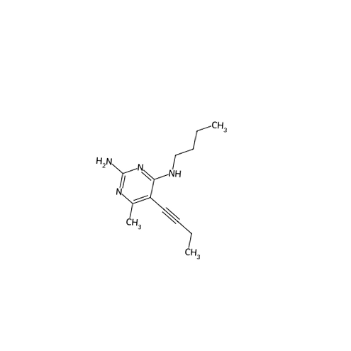 CCC#Cc1c(C)nc(N)nc1NCCCC